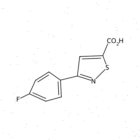 O=C(O)c1cc(-c2ccc(F)cc2)ns1